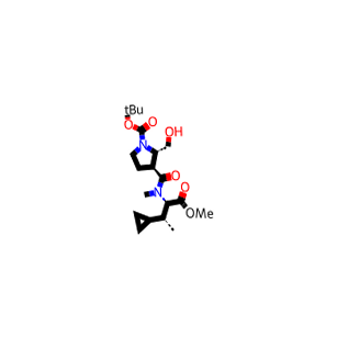 COC(=O)[C@H]([C@H](C)C1CC1)N(C)C(=O)[C@H]1CCN(C(=O)OC(C)(C)C)[C@@H]1CO